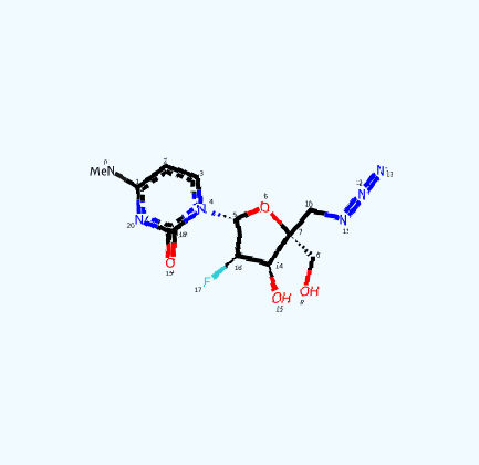 CNc1ccn([C@@H]2O[C@@](CO)(CN=[N+]=[N-])[C@@H](O)[C@H]2F)c(=O)n1